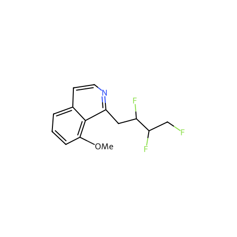 COc1cccc2ccnc(CC(F)C(F)CF)c12